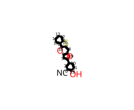 N#Cc1cc(-c2ccc(C=C3Sc4ccccc4C3=O)o2)ccc1O